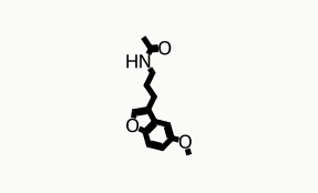 COc1ccc2occ(CCCNC(C)=O)c2c1